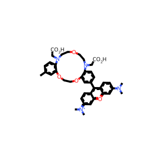 Cc1ccc2c(c1)OCCOc1cc(-c3c4ccc(=[N+](C)C)cc-4oc4cc(N(C)C)ccc34)ccc1N(CC(=O)O)CCOCCN2CC(=O)O